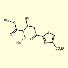 CCCCON(C(=O)OC(C)(C)C)C(CC(=O)c1nc(C(=O)OCC)cs1)C(C)C